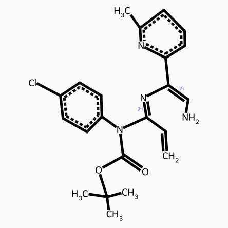 C=C/C(=N\C(=C/N)c1cccc(C)n1)N(C(=O)OC(C)(C)C)c1ccc(Cl)cc1